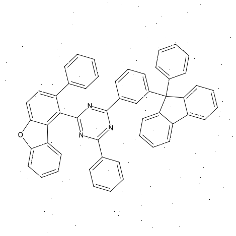 c1ccc(-c2nc(-c3cccc(C4(c5ccccc5)c5ccccc5-c5ccccc54)c3)nc(-c3c(-c4ccccc4)ccc4oc5ccccc5c34)n2)cc1